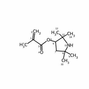 C=C(C)C(=O)OC1CC(C)(C)NC1(C)C